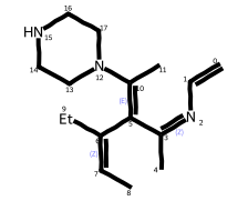 C=C\N=C(C)/C(C(=C\C)/CC)=C(\C)N1CCNCC1